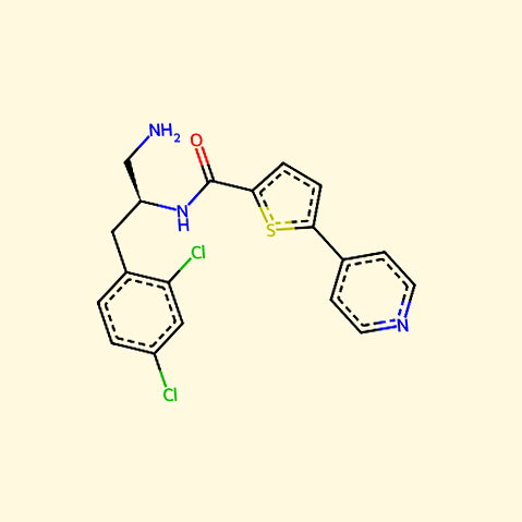 NC[C@H](Cc1ccc(Cl)cc1Cl)NC(=O)c1ccc(-c2ccncc2)s1